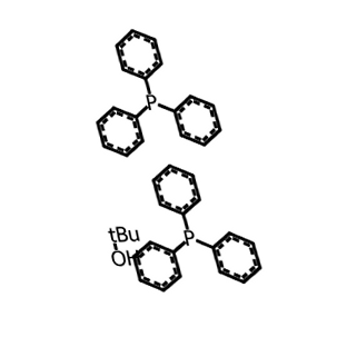 CC(C)(C)O.c1ccc(P(c2ccccc2)c2ccccc2)cc1.c1ccc(P(c2ccccc2)c2ccccc2)cc1